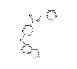 O=C(OCc1ccccc1)N1C=CC(Oc2ccc3c(c2)COC3)CC1